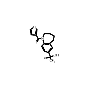 O=C(c1ccoc1)N1CCCCc2cc(C(O)(F)C(F)(F)F)ccc21